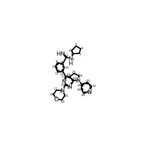 N=C(NC1CCCC1)c1cccc(-c2nc(N3CCOCC3)nc3c2CCN3c2ccncc2)c1